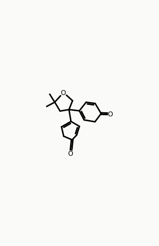 CC1(C)CC(C2=CCC(=O)C=C2)(C2=CCC(=O)C=C2)CO1